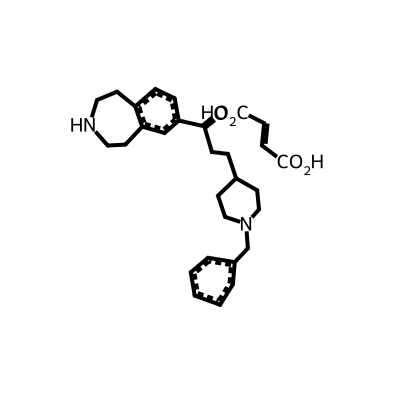 O=C(CCC1CCN(Cc2ccccc2)CC1)c1ccc2c(c1)CCNCC2.O=C(O)C=CC(=O)O